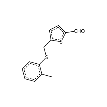 Cc1ccccc1SCc1ccc(C=O)s1